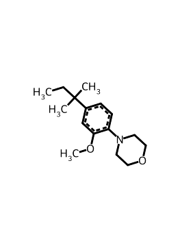 CCC(C)(C)c1ccc(N2CCOCC2)c(OC)c1